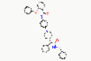 O=C(Nc1ccc(N2CCC(C(C(=O)NCc3ccccc3)c3ccccc3)CC2)cc1)c1ccccc1Oc1ccccc1